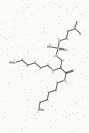 C=C(OCCCCCCCCCCCCCCC)C(COP(=O)(O)OCCN(C)C)OCCCCCCCCCCCCCCC